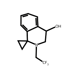 OC1CN(CC(F)(F)F)C2(CC2)c2ccccc21